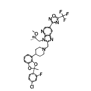 CO[C@@H](C)Cn1c(CN2CCC(c3cccc4c3OC(C)(c3ccc(Cl)cc3F)O4)CC2)nc2cc(-c3noc(C(F)(F)F)n3)cnc21